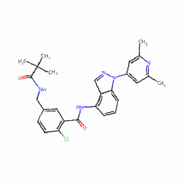 Cc1cc(-n2ncc3c(NC(=O)c4cc(CNC(=O)C(C)(C)C)ccc4Cl)cccc32)cc(C)n1